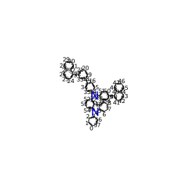 c1ccc(-n2c3ccccc3c3c(N(c4ccc(-c5cccc(-c6cccc7ccccc67)c5)cc4)c4ccc(-c5cccc6ccccc56)cc4)cccc32)cc1